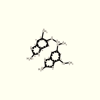 COc1cc(OC)c2nc(N)sc2c1.COc1cc2sc(N)nc2cc1C